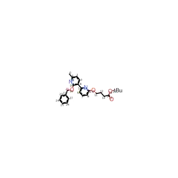 Cc1ccc(-c2cccc(OCCCC(=O)OC(C)(C)C)n2)c(OCc2ccccc2)n1